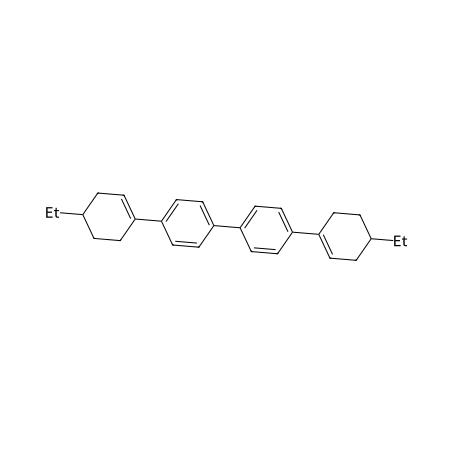 CCC1CC=C(c2ccc(-c3ccc(C4=CCC(CC)CC4)cc3)cc2)CC1